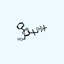 CC(C)(CO[Si](C)(C)C(C)(C)C)c1cc(CO)nc(-c2ccccc2)n1